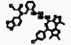 Cc1sc2c(c1C)C(c1ccc(Cl)cc1)=NC(BBBBc1ccccc1CN(C(=O)CCl)c1ccc3c(c1)OCO3)c1nnc(C)n1-2